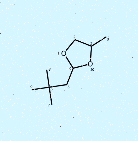 [CH2]C1COC(CC(C)(C)C)O1